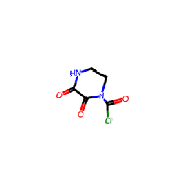 O=C1NCCN(C(=O)Cl)C1=O